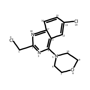 ClCc1nc(N2CCOCC2)c2cc(Cl)ccc2n1